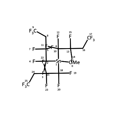 C[O][Sn]([C](F)(F)C(F)(F)CC(F)(F)F)([C](F)(F)C(F)(F)CC(F)(F)F)[C](F)(F)C(F)(F)CC(F)(F)F